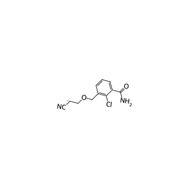 N#C[CH]COCc1cccc(C(N)=O)c1Cl